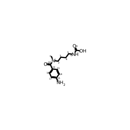 CN(CCCCNC(=O)O)C(=O)c1ccc(N)cc1